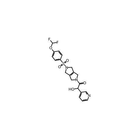 O=C(C(O)c1cccnc1)N1CC2=C(C1)CN(S(=O)(=O)c1ccc(OC(F)F)cc1)C2